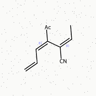 C=C/C=C(C(C)=O)\C(C#N)=C/C